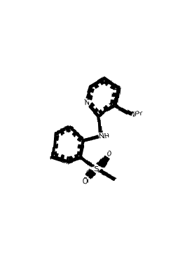 CC(C)c1cccnc1Nc1ccccc1S(C)(=O)=O